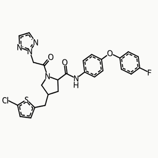 O=C(Nc1ccc(Oc2ccc(F)cc2)cc1)C1CC(Cc2ccc(Cl)s2)CN1C(=O)Cn1nccn1